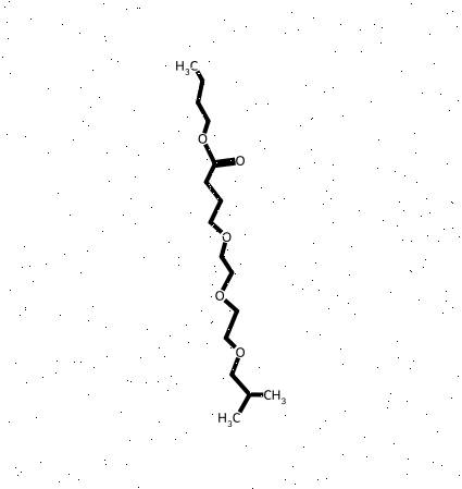 CCCCOC(=O)CCCOCCOCCOCC(C)C